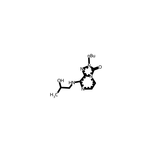 CCCCn1nc2c(NCC(C)O)nccn2c1=O